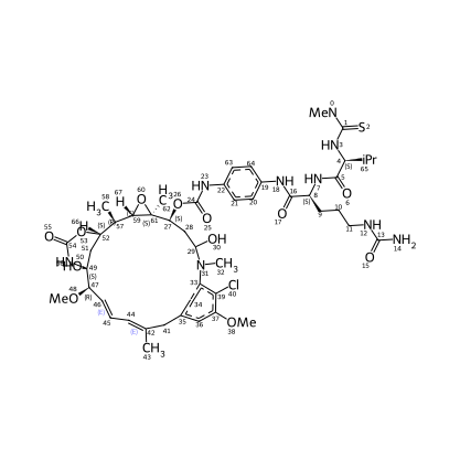 CNC(=S)N[C@H](C(=O)N[C@@H](CCCNC(N)=O)C(=O)Nc1ccc(NC(=O)O[C@H]2CC(O)N(C)c3cc(cc(OC)c3Cl)C/C(C)=C/C=C/[C@@H](OC)[C@@]3(O)C[C@H](OC(=O)N3)[C@@H](C)[C@@H]3O[C@@]23C)cc1)C(C)C